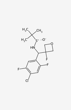 CC(C)(C)[S@+]([O-])NC(c1cc(F)c(Cl)cc1F)C1(F)COC1